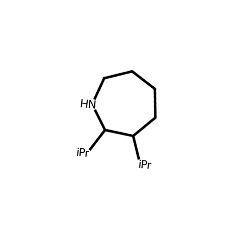 CC(C)C1CCCCNC1C(C)C